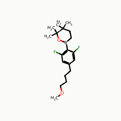 COCCCCc1cc(F)c(B2CCC(C)(C)C(C)(C)O2)c(F)c1